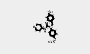 CCCCOc1ccc(N(Cc2ccc(C(C)(C)C)cc2)C(=N)NC2CCNCC2)cc1